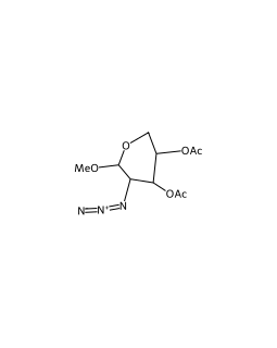 COC1OCC(OC(C)=O)C(OC(C)=O)C1N=[N+]=[N-]